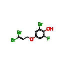 Oc1c(F)cc(OCC=C(Br)Br)cc1Br